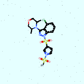 CC1COCC(C)N1c1nn(S(=O)(=O)c2ccn(S(=O)(=O)C(C)C)c2)c2cccc(Cl)c12